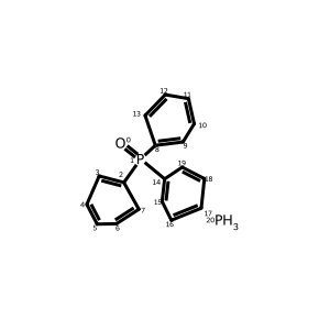 O=P(c1ccccc1)(c1ccccc1)c1ccccc1.P